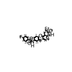 CCN1Cc2c(Oc3ccc(NS(=O)(=O)c4ccc(F)cc4)cc3F)ccnc2NC1=O